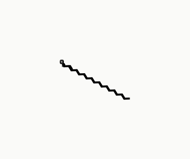 CCCCCCCCCCCCCCCC=C[C]=O